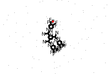 N#CC(=C1N=c2cc(C(F)(F)F)c(C(F)(F)F)cc2=N1)c1cc(C(C#N)=C2N=c3cc(C(F)(F)F)c(C(F)(F)F)cc3=N2)nc(C(C#N)=C2N=c3cc(C(F)(F)F)c(C(F)(F)F)cc3=N2)c1